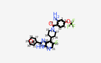 Nc1cc(OC(F)(F)F)ccc1C(=O)N1CCC(c2c(F)cnc3[nH]c(C45CCC(CC4)OC5)nc23)CC1